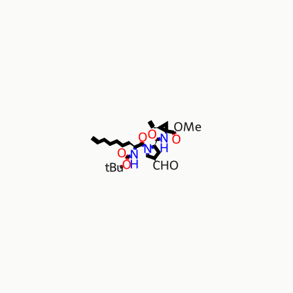 C=CCCCCC[C@H](NC(=O)OC(C)(C)C)C(=O)N1C[C@@H](C=O)C[C@H]1C(=O)N[C@]1(C(=O)OC)C[C@H]1C=C